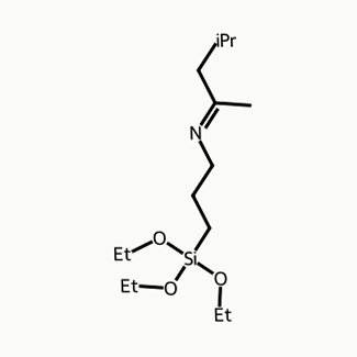 CCO[Si](CCC/N=C(\C)CC(C)C)(OCC)OCC